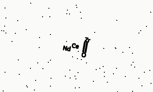 [Ce].[Nd].[O]=[Zr]